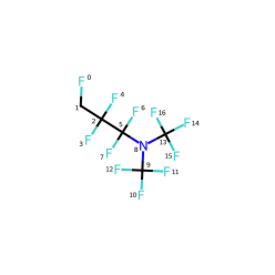 FCC(F)(F)C(F)(F)N(C(F)(F)F)C(F)(F)F